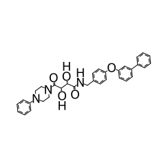 O=C(NCc1ccc(Oc2cccc(-c3ccccc3)c2)cc1)[C@H](O)[C@@H](O)C(=O)N1CCN(c2ccccc2)CC1